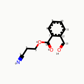 N#CCCOC(=O)c1ccccc1C=O